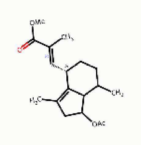 COC(=O)/C(C)=C/[C@@H]1CCC(C)C2C1=C(C)CC2OC(C)=O